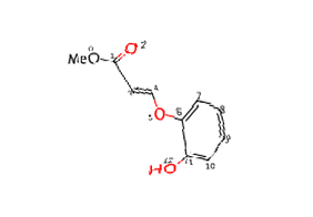 COC(=O)C=COc1ccccc1O